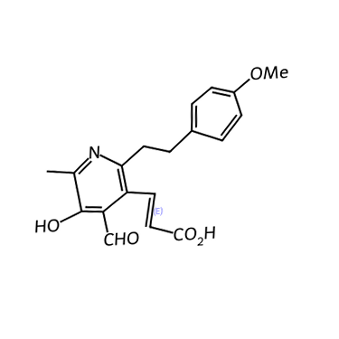 COc1ccc(CCc2nc(C)c(O)c(C=O)c2/C=C/C(=O)O)cc1